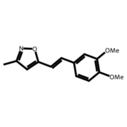 COc1ccc(/C=C/c2cc(C)no2)cc1OC